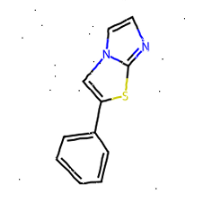 c1ccc(-c2cn3ccnc3s2)cc1